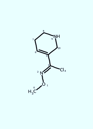 CON=C(Cl)C1=CCCNC1